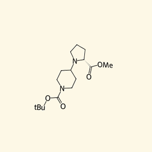 COC(=O)[C@H]1CCCN1C1CCN(C(=O)OC(C)(C)C)CC1